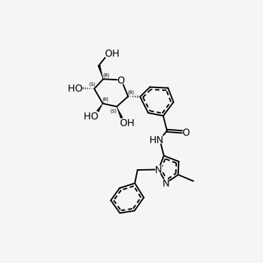 Cc1cc(NC(=O)c2cccc([C@H]3O[C@H](CO)[C@@H](O)[C@H](O)[C@@H]3O)c2)n(Cc2ccccc2)n1